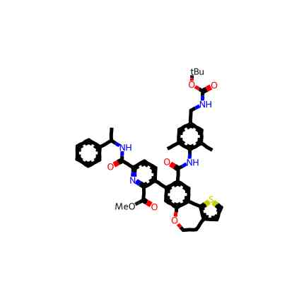 COC(=O)c1nc(C(=O)NC(C)c2ccccc2)ccc1-c1cc2c(cc1C(=O)Nc1c(C)cc(CNC(=O)OC(C)(C)C)cc1C)-c1sccc1CCO2